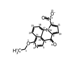 CCOc1ncc2c(=O)c3ccc([N+](=O)[O-])n3c3cccc1c23